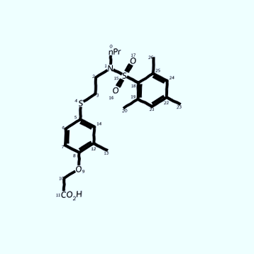 CCCN(CCSc1ccc(OCC(=O)O)c(C)c1)S(=O)(=O)c1c(C)cc(C)cc1C